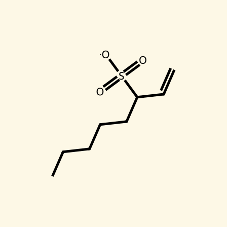 C=CC(CCCCC)S([O])(=O)=O